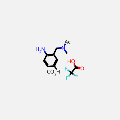 CC(=O)N(C)Cc1cc(C(=O)O)ccc1N.O=C(O)C(F)(F)F